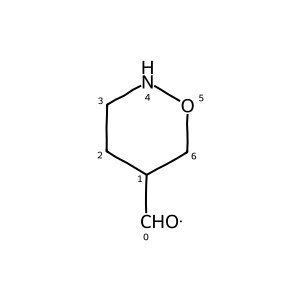 O=[C]C1CCNOC1